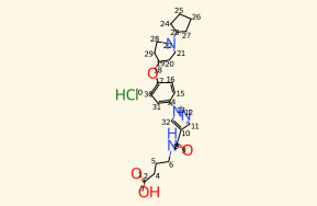 Cl.O=C(O)CCCNC(=O)c1cnn(-c2ccc(OC3CCN(C4CCCC4)CC3)cc2)c1